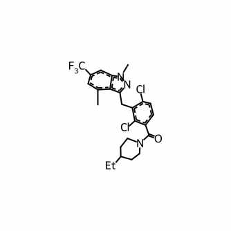 CCC1CCN(C(=O)c2ccc(Cl)c(Cc3nn(C)c4cc(C(F)(F)F)cc(C)c34)c2Cl)CC1